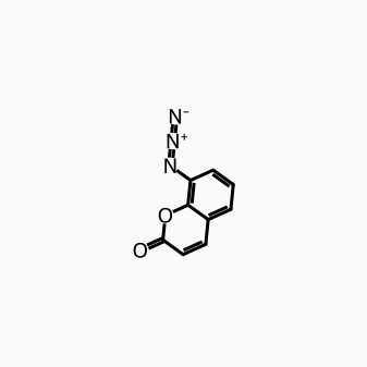 [N-]=[N+]=Nc1cccc2ccc(=O)oc12